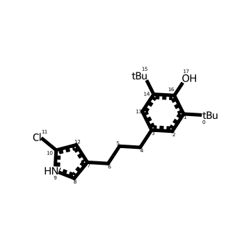 CC(C)(C)c1cc(CCCc2c[nH]c(Cl)c2)cc(C(C)(C)C)c1O